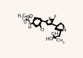 CC(C)(O)Cc1cc(-c2cc(-c3ccc(NS(C)(=O)=O)cc3Cl)sc2F)ccn1